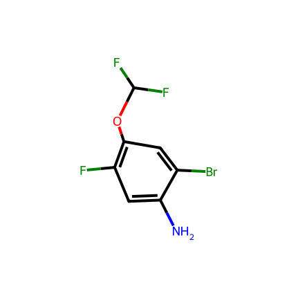 Nc1cc(F)c(OC(F)F)cc1Br